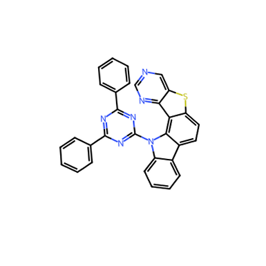 c1ccc(-c2nc(-c3ccccc3)nc(-n3c4ccccc4c4ccc5sc6cncnc6c5c43)n2)cc1